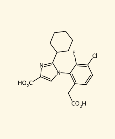 O=C(O)Cc1ccc(Cl)c(F)c1-n1cc(C(=O)O)nc1C1CCCCC1